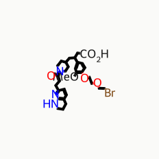 COc1cc(C(CC(=O)O)CC2CCN(C(=O)CCc3ccc4c(n3)NCCC4)CC2)ccc1OCCOCCBr